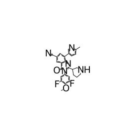 COc1c(F)cc(-n2c(C3CCCNC3)nc3c(-c4ccc(C)nc4)cc(C#N)cc3c2=O)cc1F